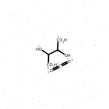 O=C(O)C(O)C(O)C(=O)O.O=C=O